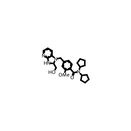 COc1cc(CN2c3cccnc3NC2CO)ccc1C(=O)N(C1CCCC1)C1CCCC1